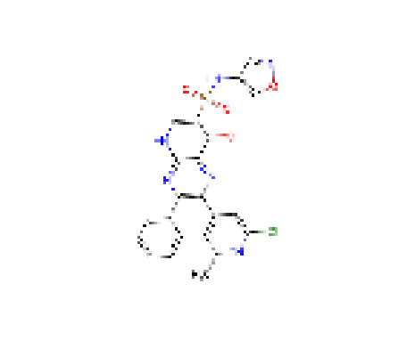 Cc1cc(-c2nc3c(=O)c(S(=O)(=O)Nc4cnoc4)c[nH]c3nc2-c2ccccc2)cc(Cl)n1